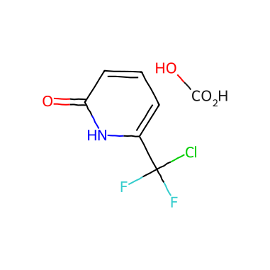 O=C(O)O.O=c1cccc(C(F)(F)Cl)[nH]1